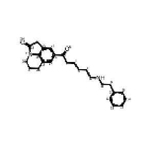 O=C(CCCCCNCCc1ccccc1)c1cc2c3c(c1)CC(=O)N3CCC2